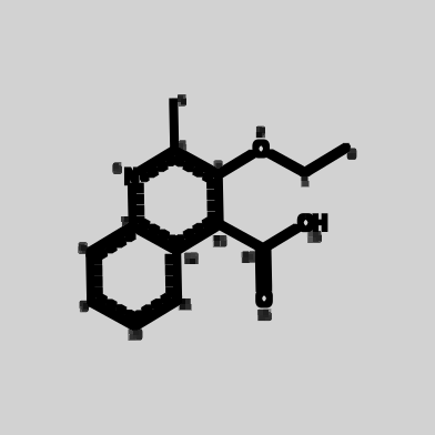 CCOc1c(C)nc2ccccc2c1C(=O)O